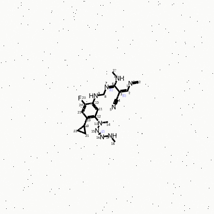 C=N/C=C(C#N)\C(=N/CNc1cc(N(C)/N=N\NC)c(C2CC2)cc1F)NC